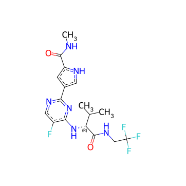 CNC(=O)c1cc(-c2ncc(F)c(N[C@@H](C(=O)NCC(F)(F)F)C(C)C)n2)c[nH]1